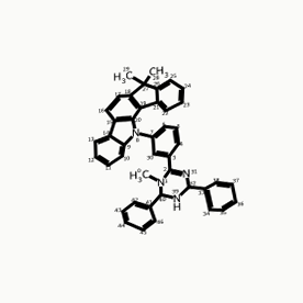 CN1C(c2cccc(-n3c4ccccc4c4ccc5c(c43)-c3ccccc3C5(C)C)c2)=NC(c2ccccc2)NC1c1ccccc1